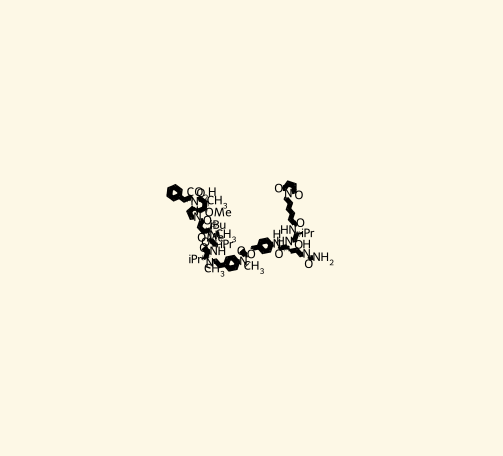 CC[C@H](C)[C@@H]([C@@H](CC(=O)N1CCC[C@H]1[C@H](OC)[C@@H](C)C(=O)N[C@@H](Cc1ccccc1)C(=O)O)OC)N(C)C(=O)[C@@H](NC(=O)[C@H](C(C)C)N(C)CCc1ccc(N(C)C(=O)OCC2=CCC(NC(=O)[C@H](CCCNC(N)=O)NC(=O)[C@@H](NC(=O)CCCCCN3C(=O)C=CC3=O)C(C)C)C=C2)cc1)C(C)C